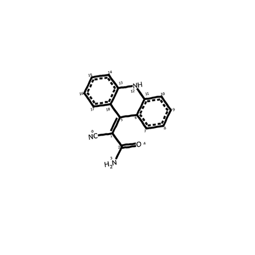 N#CC(C(N)=O)=C1c2ccccc2Nc2ccccc21